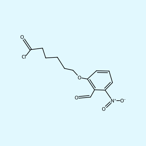 O=Cc1c(OCCCCCC(=O)Cl)cccc1[N+](=O)[O-]